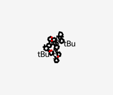 Cc1cc2c3c(c1)N1c4c(cc(C(C)(C)C)cc4C4(C)CCCCC14C)B3c1ccc(N(c3ccc(C(C)(C)C)cc3)c3cccc4c3sc3ccccc34)cc1N2c1cc2c(cc1-c1ccccc1)C(C)(C)CCC2(C)C